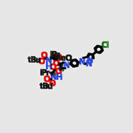 COc1cc(N2C=Nn3cc(-c4ccc(Cl)cc4)cc3C2)ccc1N1C[C@H](OC(=O)[C@@H](NC(=O)OC(C)(C)C)C(C)C)[C@H](OC(=O)[C@@H](NC(=O)OC(C)(C)C)C(C)C)C1